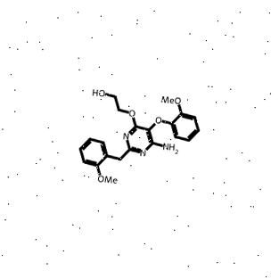 COc1ccccc1Cc1nc(N)c(Oc2ccccc2OC)c(OCCO)n1